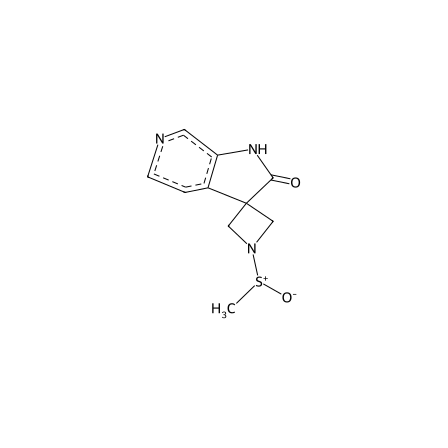 C[S+]([O-])N1CC2(C1)C(=O)Nc1cnccc12